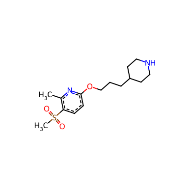 Cc1nc(OCCCC2CCNCC2)ccc1S(C)(=O)=O